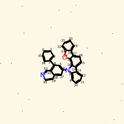 c1ccc(-c2cc(-n3c4ccccc4c4ccc5c6ccccc6oc5c43)cc3ccncc23)cc1